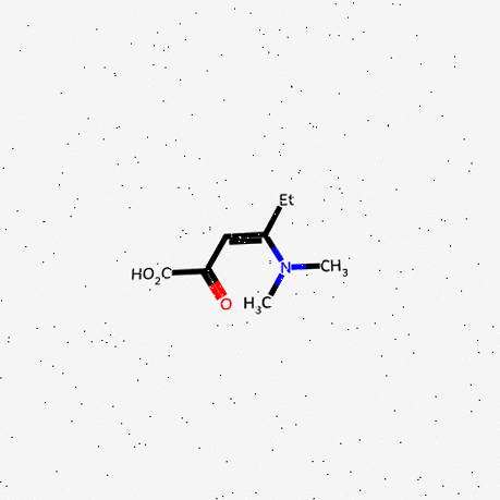 CCC(=CC(=O)C(=O)O)N(C)C